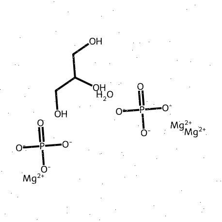 O.O=P([O-])([O-])[O-].O=P([O-])([O-])[O-].OCC(O)CO.[Mg+2].[Mg+2].[Mg+2]